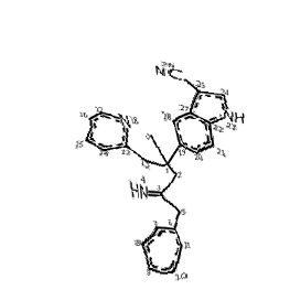 CC(CC(=N)Cc1ccccc1)(Cc1ccccn1)c1ccc2[nH]cc(C#N)c2c1